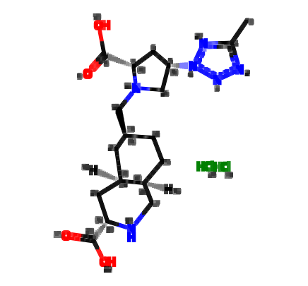 Cc1nnn([C@H]2C[C@@H](C(=O)O)N(C[C@H]3CC[C@H]4CN[C@H](C(=O)O)C[C@H]4C3)C2)n1.Cl.Cl